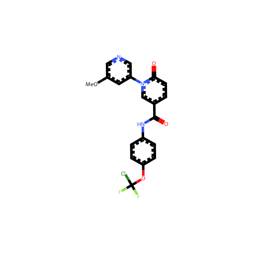 COc1cncc(-n2cc(C(=O)Nc3ccc(OC(F)(F)Cl)cc3)ccc2=O)c1